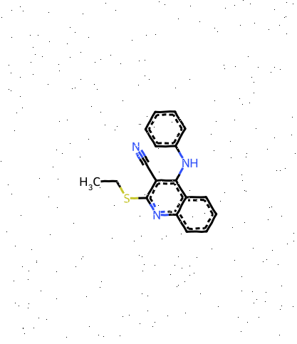 CCSc1nc2ccccc2c(Nc2ccccc2)c1C#N